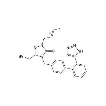 C/C=C/Cn1nc(CC(C)C)n(Cc2ccc(-c3ccccc3-c3nnn[nH]3)cc2)c1=O